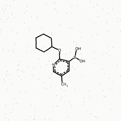 Cc1cnc(OC2CCCCC2)c(B(O)O)c1